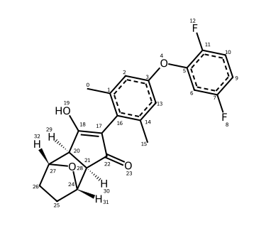 Cc1cc(Oc2cc(F)ccc2F)cc(C)c1C1=C(O)[C@H]2[C@@H](C1=O)[C@@H]1CC[C@H]2O1